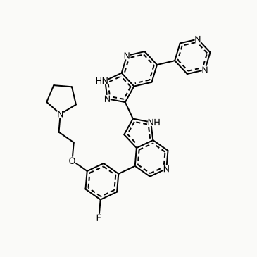 Fc1cc(OCCN2CCCC2)cc(-c2cncc3[nH]c(-c4n[nH]c5ncc(-c6cncnc6)cc45)cc23)c1